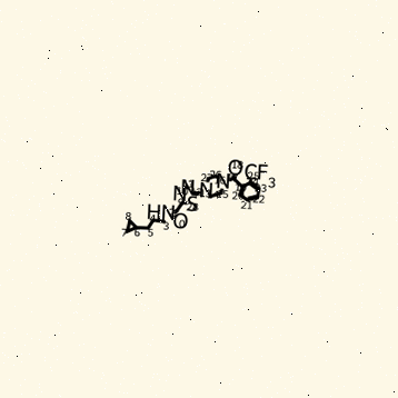 O=C(NCCCC1CC1)c1nnc(N2CCN(C(=O)c3ccccc3C(F)(F)F)CC2)s1